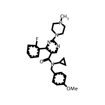 COc1ccc(CN(C(=O)c2cnc(N3CCN(C)CC3)nc2-c2ccccc2F)C2CC2)cc1